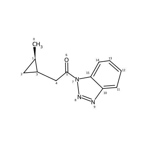 C[C@@H]1CC1CC(=O)n1nnc2ccccc21